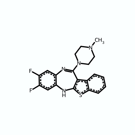 CN1CCN(C2=Nc3cc(F)c(F)cc3Nc3sc4ccccc4c32)CC1